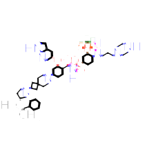 CC(C)c1ccccc1[C@@H]1CCCN1C1CC2(CCN(c3ccc(C(=O)NS(=O)(=O)c4ccc(NCCCN5CCNCC5)c(S(=O)(=O)C(F)(F)F)c4)c(Oc4cnc5[nH]ccc5c4)c3)CC2)C1